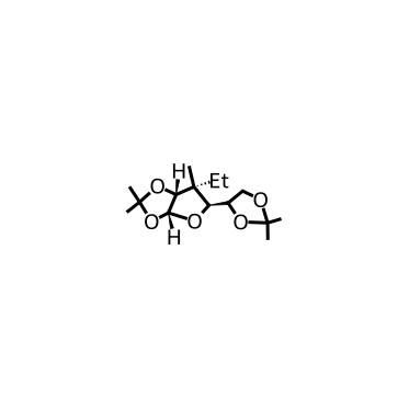 CC[C@]1(C)[C@@H](C2COC(C)(C)O2)O[C@@H]2OC(C)(C)O[C@@H]21